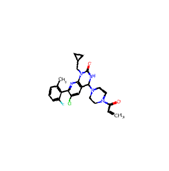 C=CC(=O)N1CCN(C2NC(=O)N(CC3CC3)c3nc(-c4c(C)cccc4F)c(Cl)cc32)CC1